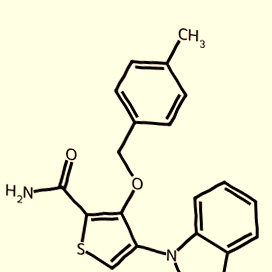 Cc1ccc(COc2c(-n3cnc4ccccc43)csc2C(N)=O)cc1